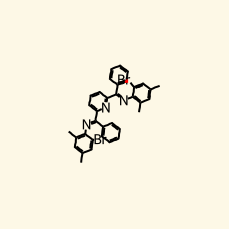 Cc1cc(C)c(/N=C(\c2ccccc2)c2cccc(/C(=N/c3c(C)cc(C)cc3Br)c3ccccc3)n2)c(Br)c1